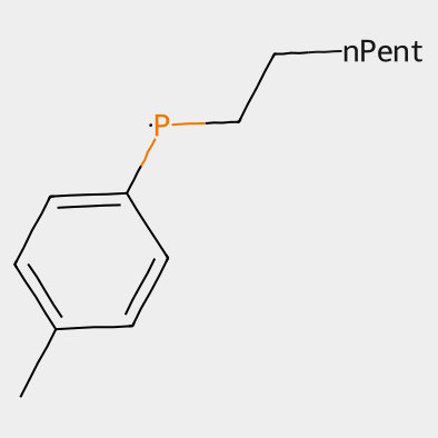 CCCCCCC[P]c1ccc(C)cc1